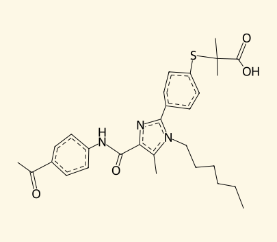 CCCCCCn1c(-c2ccc(SC(C)(C)C(=O)O)cc2)nc(C(=O)Nc2ccc(C(C)=O)cc2)c1C